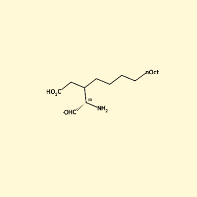 CCCCCCCCCCCCC(CC(=O)O)[C@H](N)[C]=O